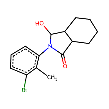 Cc1c(Br)cccc1N1C(=O)C2CCCCC2C1O